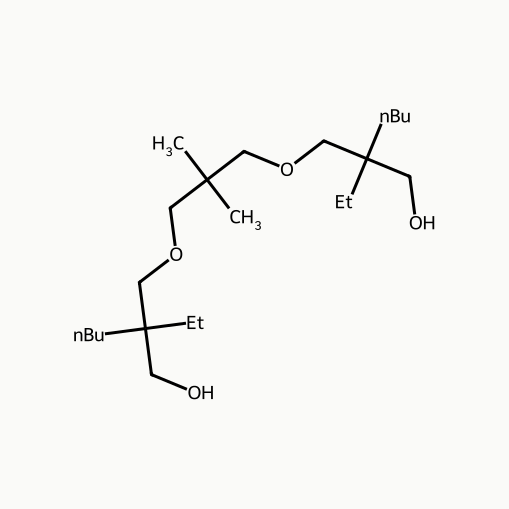 CCCCC(CC)(CO)COCC(C)(C)COCC(CC)(CO)CCCC